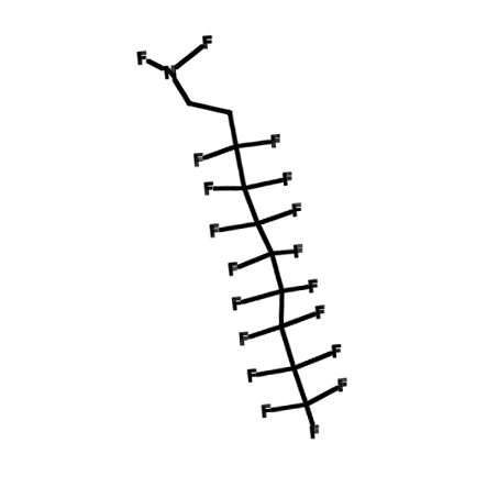 FN(F)CCC(F)(F)C(F)(F)C(F)(F)C(F)(F)C(F)(F)C(F)(F)C(F)(F)C(F)(F)F